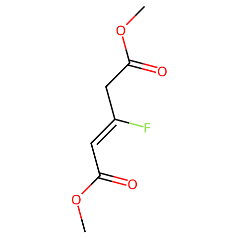 COC(=O)/C=C(\F)CC(=O)OC